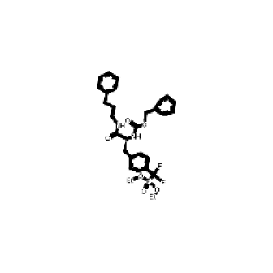 CCOP(=O)(OCC)C(F)(F)c1ccc(C[C@H](NC(=O)OCc2ccccc2)C(=O)NCCCc2ccccc2)cc1